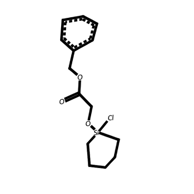 O=C(CO[Si]1(Cl)CCCCC1)OCc1ccccc1